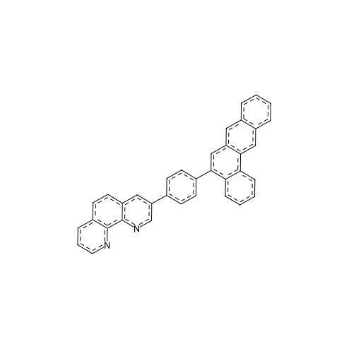 c1ccc2cc3c(cc(-c4ccc(-c5cnc6c(ccc7cccnc76)c5)cc4)c4ccccc43)cc2c1